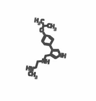 CNCCNCc1c[nH]cc1-c1ccc(OC(C)C)cc1